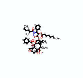 C/C=C\C=C(/C)C(=O)NC(c1ccccc1)C(OC(=O)CCCCCCCCCCCCCCC)C(=O)OC1CC2(O)C(OC(=O)c3ccccc3)C3C4(OC(C)=O)COC4CC(O)C3(C)C(=O)C(OC(C)=O)C(=C1C)C2(C)C